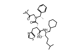 CC(C)CC[C@H](O)[C@H](CC1CCCCC1)NC(=O)[C@@H](CC(=O)N(CC(=O)N(C)C)[C@@H](C)c1ccccc1)Cc1cscn1